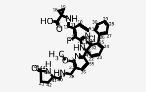 COc1nc(C2(Nc3nccc(CNC4(C(=O)O)CC4)c3F)C=CC=C(c3ccccc3)C2(Cl)Cl)ccc1CNCC1CCC(=O)N1